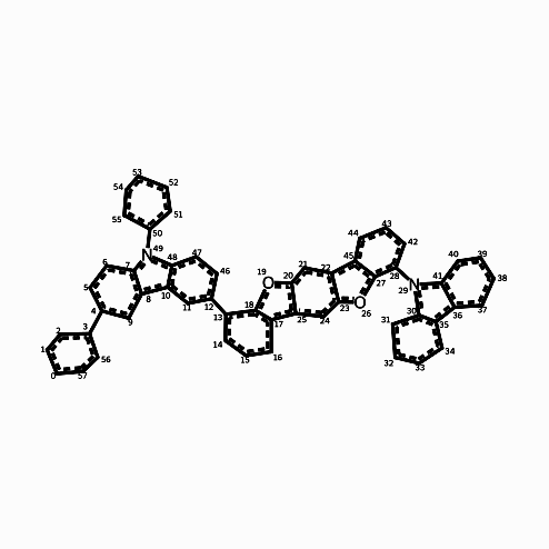 c1ccc(-c2ccc3c(c2)c2cc(-c4cccc5c4oc4cc6c(cc45)oc4c(-n5c7ccccc7c7ccccc75)cccc46)ccc2n3-c2ccccc2)cc1